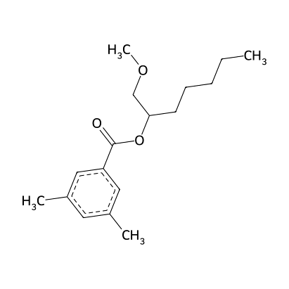 CCCCCC(COC)OC(=O)c1cc(C)cc(C)c1